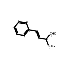 CCCCCCC(C=O)C=Cc1ccccc1